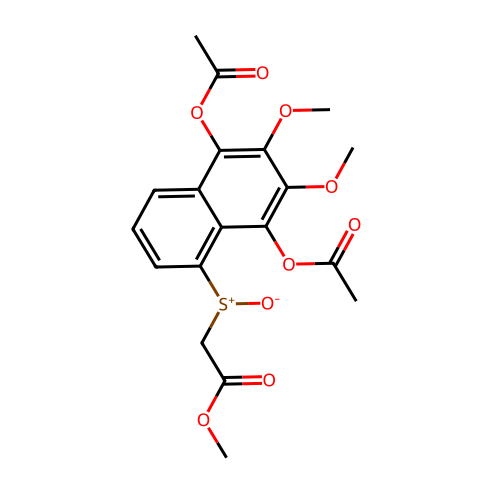 COC(=O)C[S+]([O-])c1cccc2c(OC(C)=O)c(OC)c(OC)c(OC(C)=O)c12